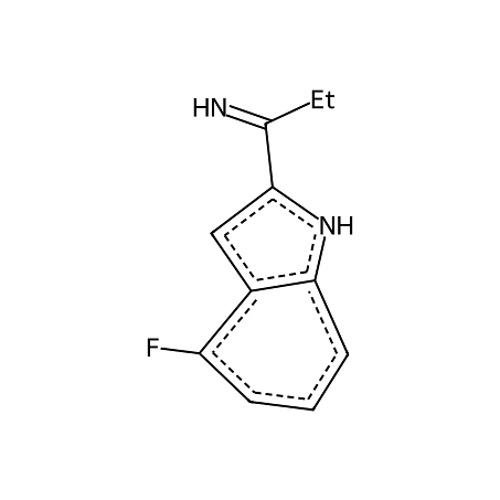 CCC(=N)c1cc2c(F)cccc2[nH]1